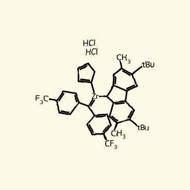 Cc1cc2c(cc1C(C)(C)C)-c1cc(C(C)(C)C)c(C)cc1[CH]2[Zr]([C]1=CC=CC1)=[C](c1ccc(C(F)(F)F)cc1)c1ccc(C(F)(F)F)cc1.Cl.Cl